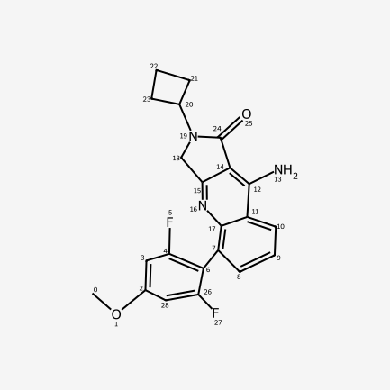 COc1cc(F)c(-c2cccc3c(N)c4c(nc23)CN(C2CCC2)C4=O)c(F)c1